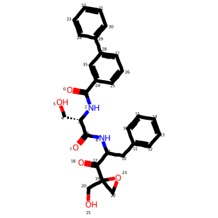 O=C(N[C@@H](CO)C(=O)NC(Cc1ccccc1)C(=O)C1(CO)CO1)c1cccc(-c2ccccc2)c1